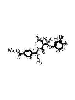 COC(=O)c1ccc([C@H](C)NC(=O)c2c(C(F)F)nn(C)c2Oc2ccc(F)c(Br)c2)cc1